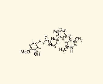 COc1ccc(CCNc2nccc(-c3cc(CN4C[C@@H](C)NC[C@H]4C)ccc3F)n2)cc1O